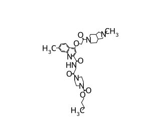 CCCCOC(=O)N1CCN(C(=O)CNC(=O)c2cc(OCC(=O)N3CCC4CN(C)CC4C3)c3ccc(C)cc3n2)CC1